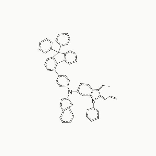 C=C/C=c1\c(=C/C)c2ccc(N(c3ccc(-c4cccc5c4-c4ccccc4C5(c4ccccc4)c4ccccc4)cc3)c3ccc4ccccc4c3)cc2n1-c1ccccc1